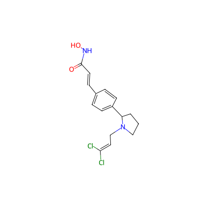 O=C(C=Cc1ccc(C2CCCN2CC=C(Cl)Cl)cc1)NO